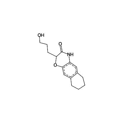 O=C1Nc2cc3c(cc2OC1CCCO)CCCC3